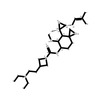 CCN(CC)CCC1CN(C(=O)OC2CCC3(CO3)C([C@@]3(C)O[C@@H]3CC=C(C)C)C2OC)C1